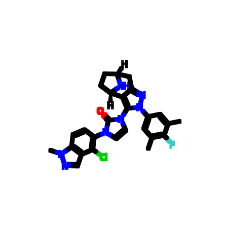 Cc1cc(-n2nc3c(c2-n2ccn(-c4ccc5c(cnn5C)c4Cl)c2=O)[C@@H]2CC[C@H](C3)N2)cc(C)c1F